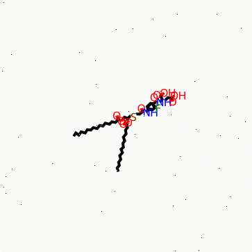 CCCCCCCCCCCCCCCC(=O)OCC(CSCCC(=O)Nc1ccc(C(=O)N[C@@H](CCC(=O)O)C(=O)O)c(F)c1)OC(=O)CCCCCCCCCCCCCCC